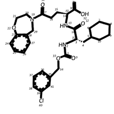 O=C(N[C@@H](CC1CCCCC1)C(=O)N[C@@H](CCC(=O)N1CCOc2ccccc2C1)C(=O)O)OCc1cccc(Cl)c1